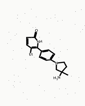 CCc1ccc(=O)[nH]c1-c1ccc(N2CCC(C)(N)C2)cc1